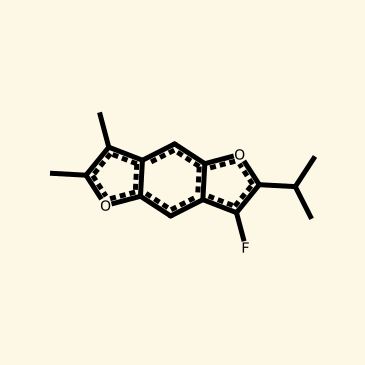 Cc1oc2cc3c(F)c(C(C)C)oc3cc2c1C